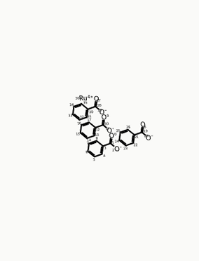 O=C([O-])c1ccccc1.O=C([O-])c1ccccc1.O=C([O-])c1ccccc1.O=C([O-])c1ccccc1.[Ru+4]